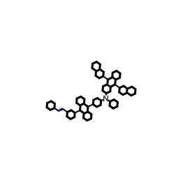 C(=C\c1cccc(-c2c3ccccc3c(-c3ccc(N(c4ccccc4)c4ccc5c(-c6ccc7ccccc7c6)c6ccccc6c(-c6ccc7ccccc7c6)c5c4)cc3)c3ccccc23)c1)/c1ccccc1